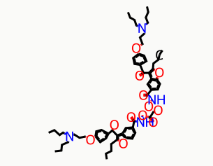 CCCCc1oc2ccc(C(=O)NOC(=O)C(=O)ONC(=O)c3ccc4oc(CCCC)c(C(=O)c5ccc(OCCCN(CCCC)CCCC)cc5)c4c3)cc2c1C(=O)c1ccc(OCCCN(CCCC)CCCC)cc1